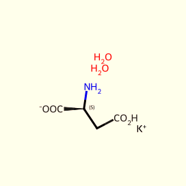 N[C@@H](CC(=O)O)C(=O)[O-].O.O.[K+]